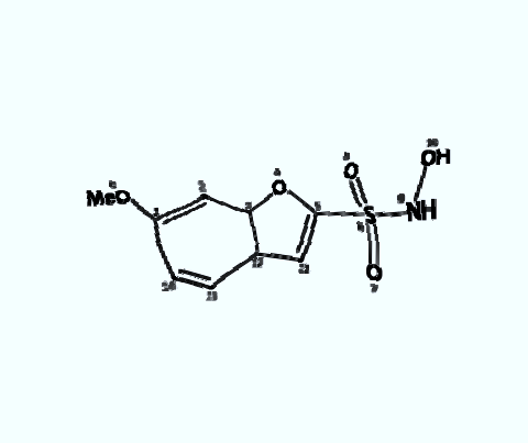 COC1=CC2OC(S(=O)(=O)NO)=CC2C=C1